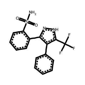 NS(=O)(=O)c1ccccc1-c1n[nH]c(C(F)(F)F)c1-c1ccccc1